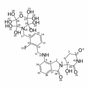 O=C1CCC(O)(N2Cc3c(NCc4cccc(CN5C(O)(O)C(O)(O)OC(O)(O)C5(O)O)c4F)cccc3C2=O)C(=O)N1